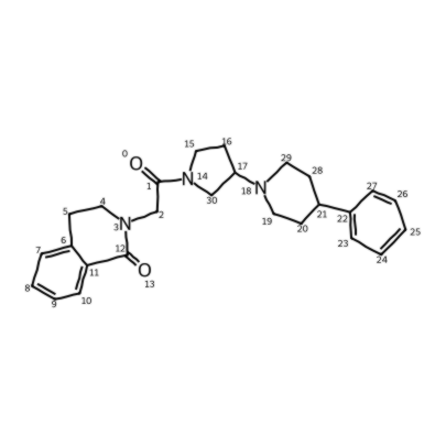 O=C(CN1CCc2ccccc2C1=O)N1CCC(N2CCC(c3ccccc3)CC2)C1